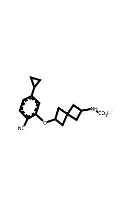 N#Cc1ccc(C2CC2)cc1OC1CC2(CC(NC(=O)O)C2)C1